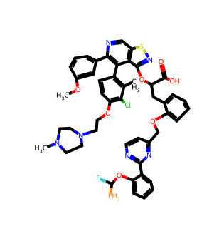 COc1cccc(-c2ncc3snc(OC(Cc4ccccc4OCc4ccnc(-c5ccccc5OC(F)P)n4)C(=O)O)c3c2-c2ccc(OCCN3CCN(C)CC3)c(Cl)c2C)c1